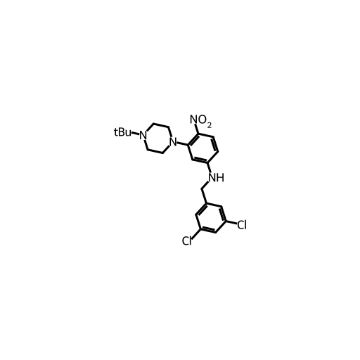 CC(C)(C)N1CCN(c2cc(NCc3cc(Cl)cc(Cl)c3)ccc2[N+](=O)[O-])CC1